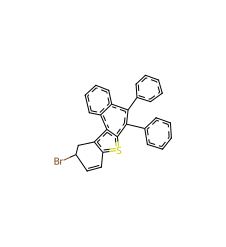 BrC1C=Cc2sc3c(-c4ccccc4)c(-c4ccccc4)c4ccccc4c3c2C1